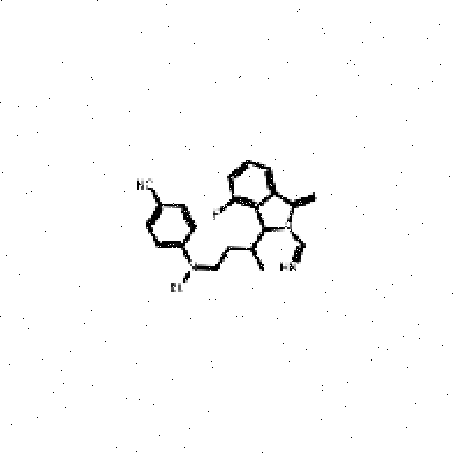 C=C1c2cccc(F)c2C(C(C)CCN(CC)c2ccc(C#N)cc2)N1C=N